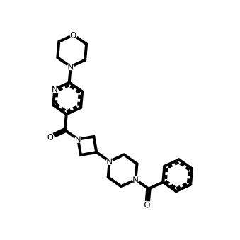 O=C(c1ccccc1)N1CCN(C2CN(C(=O)c3ccc(N4CCOCC4)nc3)C2)CC1